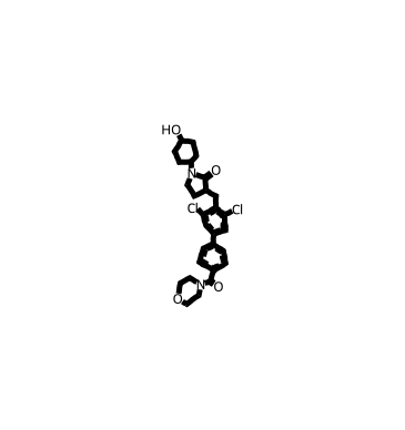 O=C(c1ccc(-c2cc(Cl)c(CC3CCN(C4CCC(O)CC4)C3=O)c(Cl)c2)cc1)N1CCOCC1